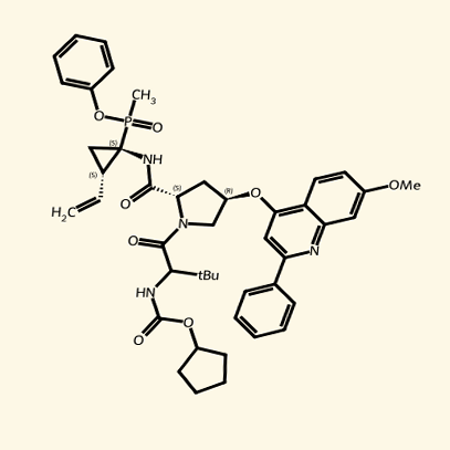 C=C[C@@H]1C[C@]1(NC(=O)[C@@H]1C[C@@H](Oc2cc(-c3ccccc3)nc3cc(OC)ccc23)CN1C(=O)C(NC(=O)OC1CCCC1)C(C)(C)C)P(C)(=O)Oc1ccccc1